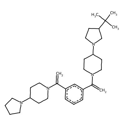 C=C(c1cccc(C(=C)N2CCC(N3CCC(C(C)(C)C)C3)CC2)c1)N1CCC(N2CCCC2)CC1